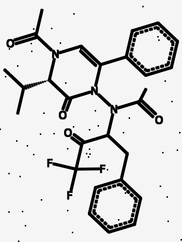 CC(=O)N1C=C(c2ccccc2)N(N(C(C)=O)C(Cc2ccccc2)C(=O)C(F)(F)F)C(=O)[C@@H]1C(C)C